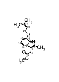 COC(=O)Cc1c(C)nc2c(OCC=C(C)C)cccn12